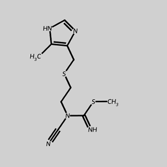 CSC(=N)N(C#N)CCSCc1nc[nH]c1C